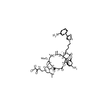 CC[C@H]1OC(=O)[C@H](C)C(=O)[C@H](C)[C@@H](O[C@@H]2O[C@H](CNC(=O)C(Cl)Cl)CC(N(C)C)C2O)[C@](C)(OC)C[C@@H](C)CN[C@H](C)[C@H]2N(CCCCn3cc(-c4cccc(N)c4)nn3)C(=O)O[C@]12n1ccc(N)nc1=O